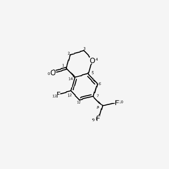 O=C1CCOc2cc(C(F)F)cc(F)c21